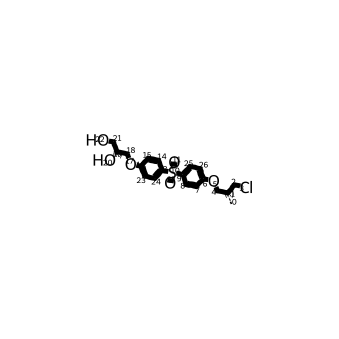 C[C@@H](CCl)COc1ccc(S(=O)(=O)c2ccc(OC[C@H](O)CO)cc2)cc1